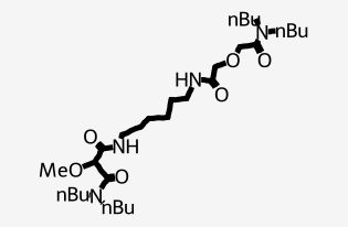 CCCCN(CCCC)C(=O)COCC(=O)NCCCCCCNC(=O)C(OC)C(=O)N(CCCC)CCCC